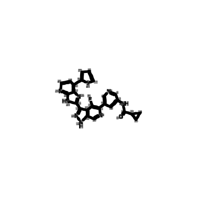 O=C(Nc1cncc(-c2ncc3[nH]nc(-c4nc5c(-c6cccs6)ccnc5[nH]4)c3c2F)c1)C1CC1